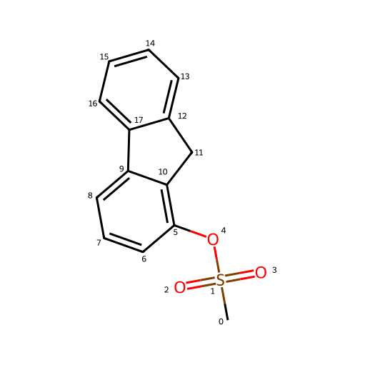 CS(=O)(=O)Oc1cccc2c1Cc1ccccc1-2